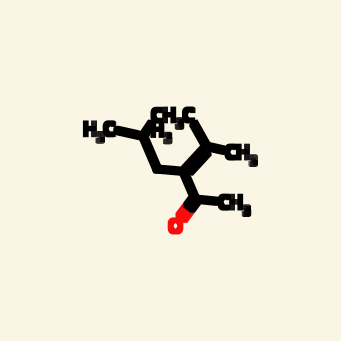 CC(=O)C(CC(C)C)=C(C)C